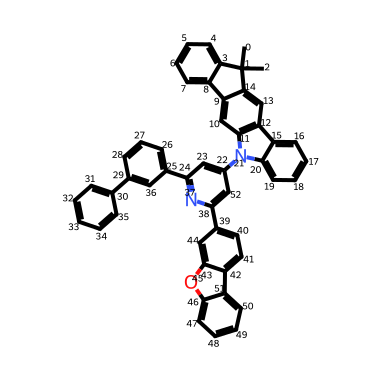 CC1(C)c2ccccc2-c2cc3c(cc21)c1ccccc1n3-c1cc(-c2cccc(-c3ccccc3)c2)nc(-c2ccc3c(c2)oc2ccccc23)c1